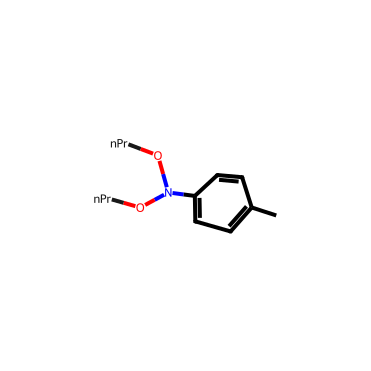 CCCON(OCCC)c1ccc(C)cc1